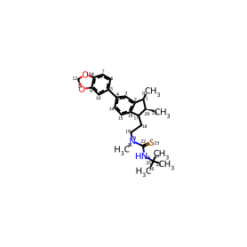 CC1c2cc(-c3ccc4c(c3)OCO4)ccc2C(CCN(C)C(=S)NC(C)(C)C)[C@@H]1C